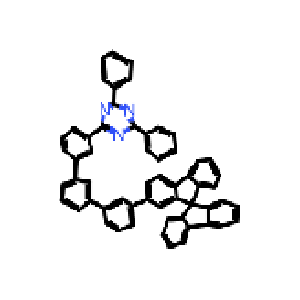 c1ccc(-c2nc(-c3ccccc3)nc(-c3cccc(-c4cccc(-c5cccc(-c6ccc7c(c6)C6(c8ccccc8-c8ccccc86)c6ccccc6-7)c5)c4)c3)n2)cc1